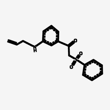 C=CCNc1cccc(C(=O)CS(=O)(=O)c2ccccc2)c1